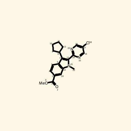 COC(=O)c1ccc2c(C3CCCC3)c(-c3ncc(Cl)cn3)n(C)c2c1